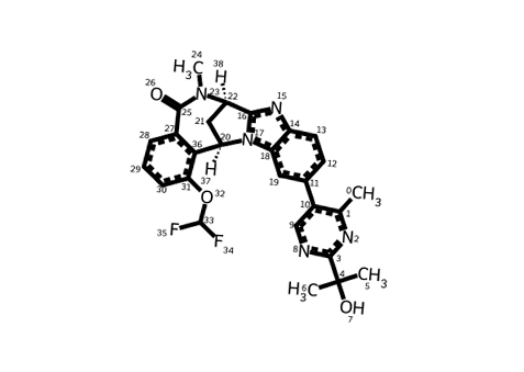 Cc1nc(C(C)(C)O)ncc1-c1ccc2nc3n(c2c1)[C@@H]1C[C@H]3N(C)C(=O)c2cccc(OC(F)F)c21